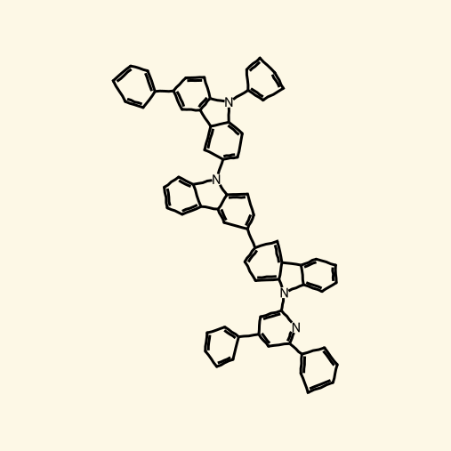 c1ccc(-c2cc(-c3ccccc3)nc(-n3c4ccccc4c4cc(-c5ccc6c(c5)c5ccccc5n6-c5ccc6c(c5)c5cc(-c7ccccc7)ccc5n6-c5ccccc5)ccc43)c2)cc1